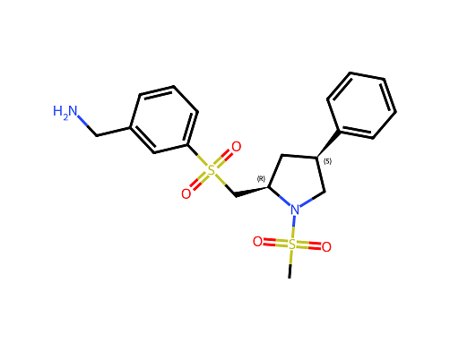 CS(=O)(=O)N1C[C@H](c2ccccc2)C[C@@H]1CS(=O)(=O)c1cccc(CN)c1